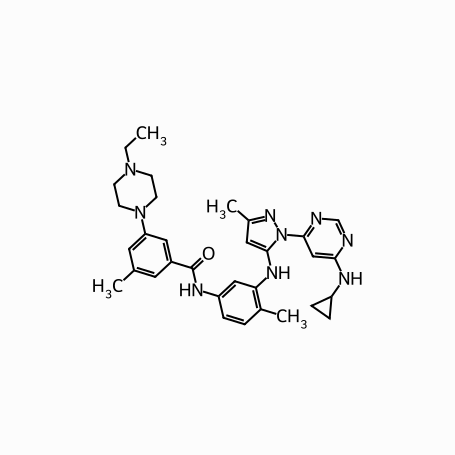 CCN1CCN(c2cc(C)cc(C(=O)Nc3ccc(C)c(Nc4cc(C)nn4-c4cc(NC5CC5)ncn4)c3)c2)CC1